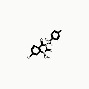 CC(=O)On1c(=O)n(S(=O)(=O)c2ccc(C)cc2)c(=O)c2ccc(Cl)cc21